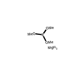 COB(OC)OC.[MgH2]